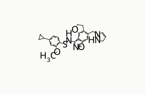 COc1cc(C2CC2)ccc1SNc1noc2cc(CN3C=CCN3)c3c(c12)OCC3